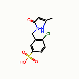 Cc1cc(=O)n(Cc2cc(S(=O)(=O)O)ccc2Cl)[nH]1